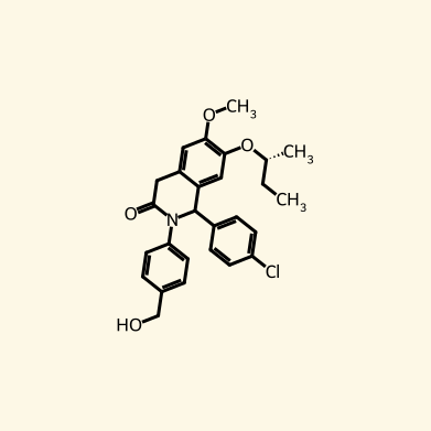 CC[C@@H](C)Oc1cc2c(cc1OC)CC(=O)N(c1ccc(CO)cc1)C2c1ccc(Cl)cc1